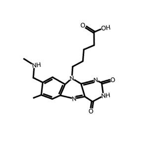 CNCc1cc2c(cc1C)nc1c(=O)[nH]c(=O)nc-1n2CCCCC(=O)O